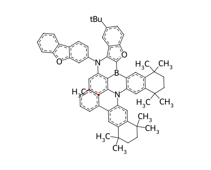 Cc1cc2c3c(c1)N(c1ccc4c(c1)oc1ccccc14)c1c(oc4ccc(C(C)(C)C)cc14)B3c1cc3c(cc1N2c1cc2c(cc1-c1ccccc1)C(C)(C)CCC2(C)C)C(C)(C)CCC3(C)C